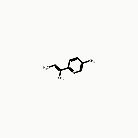 C/C=C(\C)c1ccc(C)cn1